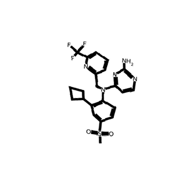 CS(=O)(=O)c1ccc(N(Cc2cccc(C(F)(F)F)n2)c2ccnc(N)n2)c(C2CCC2)c1